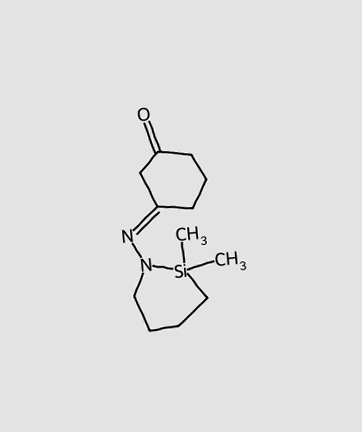 C[Si]1(C)CCCCN1N=C1CCCC(=O)C1